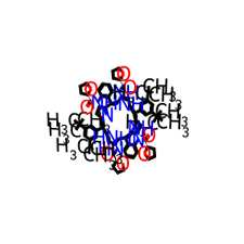 CC(C)(C)c1cc(/C2=C3\C=CC(=N3)/C(c3c(NC(=O)[C@@H]4CCCO4)cccc3NC(=O)[C@@H]3CCCO3)=c3/cc/c([nH]3)=C(\c3cc(C(C)(C)C)cc(C(C)(C)C)c3)C3C=C/C(=C(\c4c(NC(=O)[C@@H]5CCCO5)cccc4NC(=O)[C@@H]4CCCO4)c4ccc2[nH]4)N3)cc(C(C)(C)C)c1